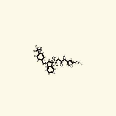 Cc1cc(NC(=O)CS(=O)(=O)c2cn(Cc3ccc(C(F)(F)F)cc3)c3ccccc23)no1